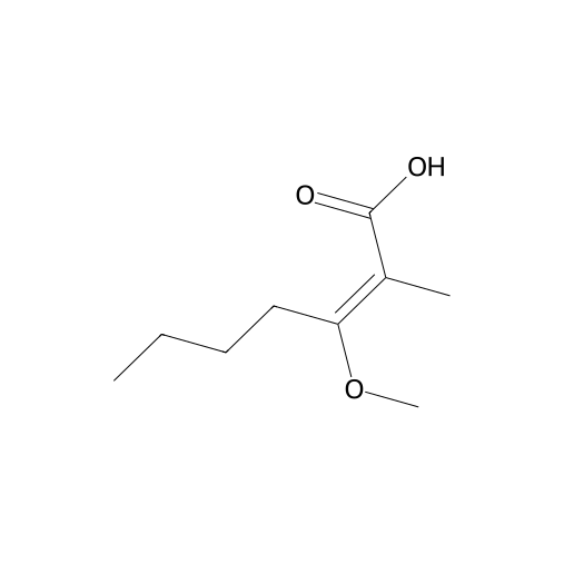 CCCCC(OC)=C(C)C(=O)O